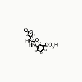 O=C(NC1=CC(=O)OC1)Nc1cccc(C(=O)O)c1